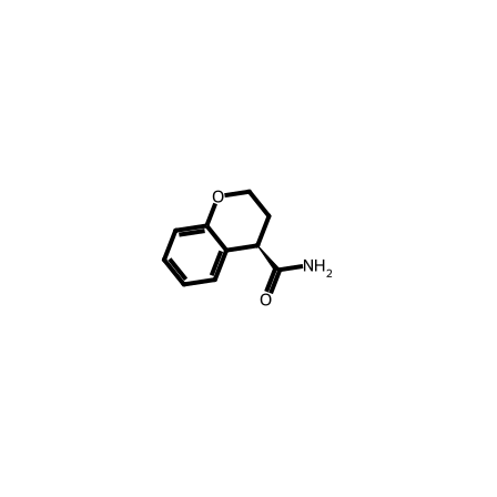 NC(=O)[C@@H]1CCOc2ccccc21